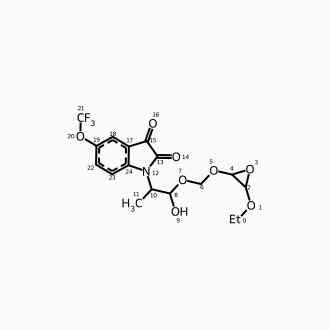 CCOC1OC1OCOC(O)C(C)N1C(=O)C(=O)c2cc(OC(F)(F)F)ccc21